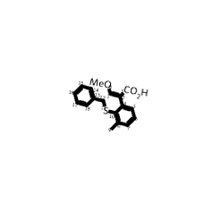 COC=C(C(=O)O)c1cccc(C)c1SCc1ccccc1